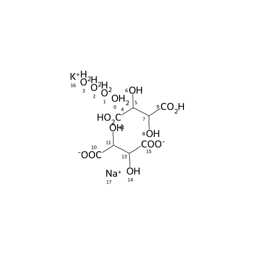 O.O.O.O.O=C(O)C(O)C(O)C(=O)O.O=C([O-])C(O)C(O)C(=O)[O-].[K+].[Na+]